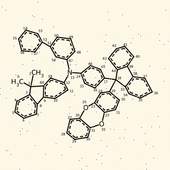 CC1(C)c2ccccc2-c2ccc(N(c3ccc(C4(c5ccc6c(c5)Oc5ccccc5O6)c5ccccc5-c5ccccc54)cc3)c3cccc(-c4ccccc4)c3)cc21